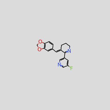 Fc1cncc(C2=NCCC/C2=C\c2ccc3c(c2)OCO3)c1